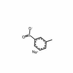 Cc1cccc(S(=O)[O-])c1.[Na+]